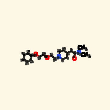 CN(C)C(=O)CC1CCN(CCOCCOc2ccccc2)CC1